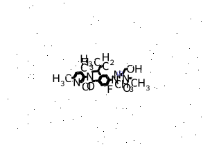 C=C(C)C1CN(c2c(C)cc(C)nc2Cl)C(=O)c2cc(F)c(N(C)/N=C(/CO)N(C=O)CC)cc21